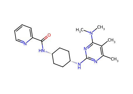 Cc1nc(N[C@H]2CC[C@@H](NC(=O)c3ccccn3)CC2)nc(N(C)C)c1C